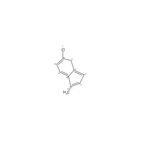 CC1=CC=C2CC(Cl)=CC=C12